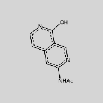 CC(=O)Nc1cc2ccnc(O)c2cn1